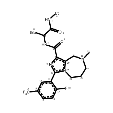 CCNC(=O)C(NC(=O)c1nc(-c2cc(C(F)(F)F)ccc2F)n2c1CN(C)CCC2)C(C)(C)C